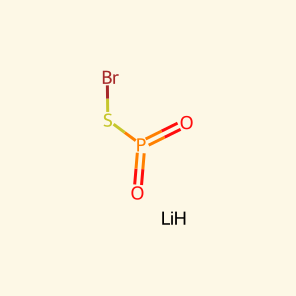 O=P(=O)SBr.[LiH]